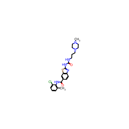 Cc1cccc(Cl)c1NC(=O)c1ccc2nc(NC(=O)NCCCN3CCN(C)CC3)sc2c1